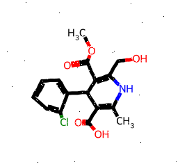 COC(=O)C1=C(CO)NC(C)=C(C(=O)O)C1c1ccccc1Cl